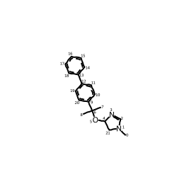 CN1C=NC(OC(C)(C)c2ccc(-c3ccccc3)cc2)C1